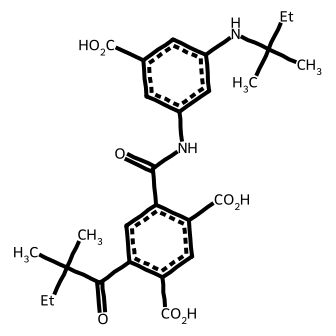 CCC(C)(C)Nc1cc(NC(=O)c2cc(C(=O)C(C)(C)CC)c(C(=O)O)cc2C(=O)O)cc(C(=O)O)c1